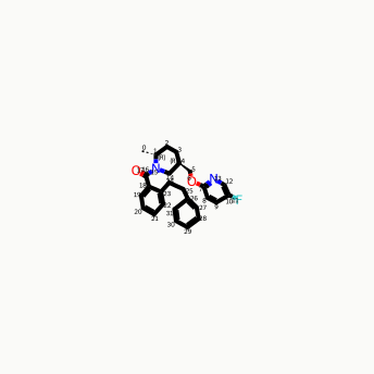 C[C@@H]1CC[C@@H](COc2ccc(F)cn2)CN1C(=O)c1ccccc1CCc1ccccc1